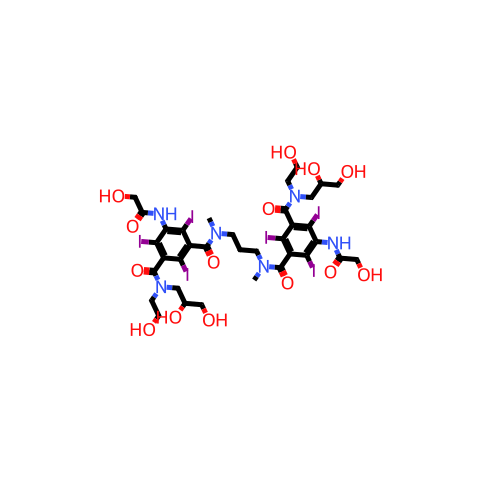 CN(CCCN(C)C(=O)c1c(I)c(NC(=O)CO)c(I)c(C(=O)N(CCO)CC(O)CO)c1I)C(=O)c1c(I)c(NC(=O)CO)c(I)c(C(=O)N(CCO)CC(O)CO)c1I